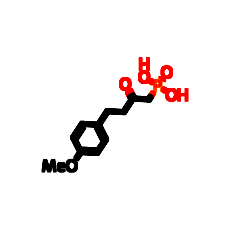 COc1ccc(CCC(=O)CP(=O)(O)O)cc1